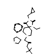 CCN1C(=O)N(CC2CC2)C(=O)C12CCN([C@H](C(=O)CC(C)(C)C)C1CNC[C@@H]1c1ccccc1)CC2.Cl